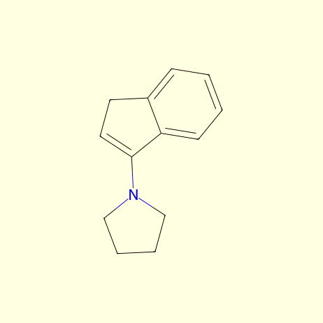 C1=C(N2CCCC2)c2ccccc2C1